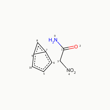 NC(=O)C[N+](=O)[O-].c1cc2cc-2c1